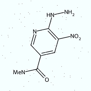 CNC(=O)c1cnc(NN)c([N+](=O)[O-])c1